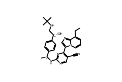 CCc1cccn2c(-c3nc(N[C@@H](C)c4ccc([C@@H](O)CNC(C)(C)C)cc4)ncc3C#N)cnc12